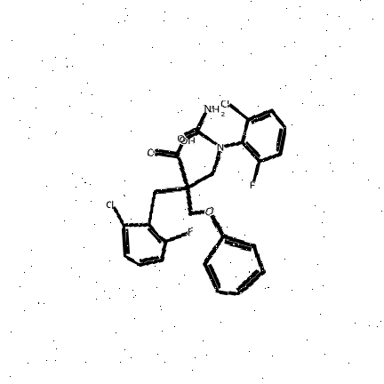 NC(=O)N(CC(COc1ccccc1)(Cc1c(F)cccc1Cl)C(=O)O)c1c(F)cccc1Cl